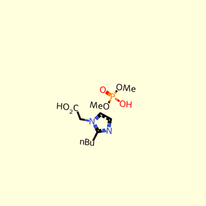 CCCCc1nccn1CC(=O)O.COP(=O)(O)OC